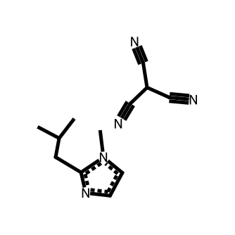 CC(C)Cc1nccn1C.N#CC(C#N)C#N